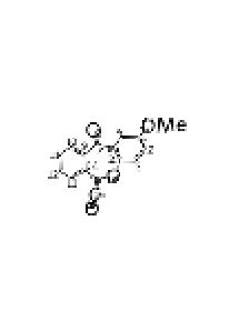 COc1ccc2c(c1)C(=O)c1ccccc1C(=C=O)O2